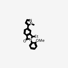 CCC1c2cc(-c3ccnn3C)ccc2C(=O)N1c1ccccc1OC